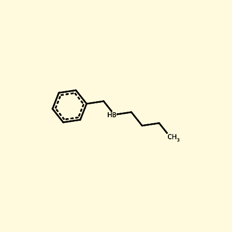 CCCCBCc1ccccc1